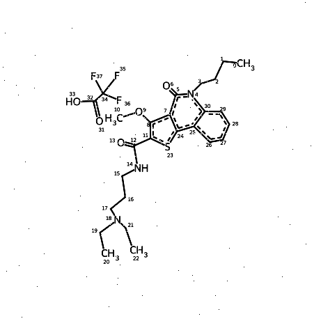 CCCCn1c(=O)c2c(OC)c(C(=O)NCCCN(CC)CC)sc2c2ccccc21.O=C(O)C(F)(F)F